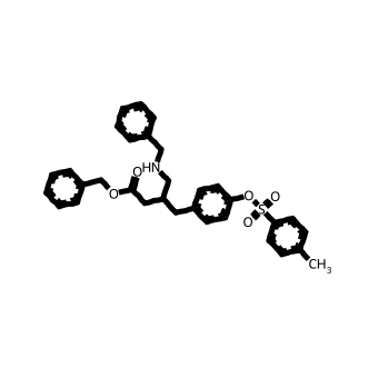 Cc1ccc(S(=O)(=O)Oc2ccc(CC(CNCc3ccccc3)CC(=O)OCc3ccccc3)cc2)cc1